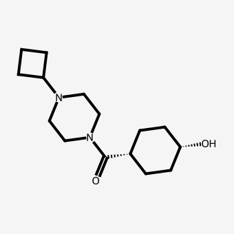 O=C([C@H]1CC[C@@H](O)CC1)N1CCN(C2CCC2)CC1